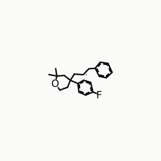 CC1(C)CC(C[CH]Cc2ccccc2)(c2ccc(F)cc2)CCO1